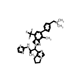 C=C(Nc1nccs1)C(c1ncn2c1CCC2)n1cc2c(C(F)(F)F)cc(-c3ccc(CN(C)C)cc3)c(C)c2n1